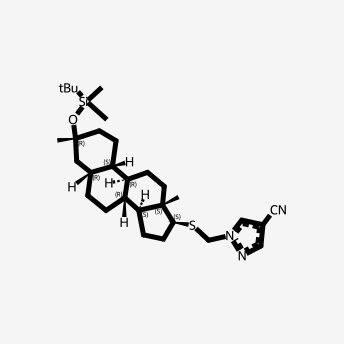 CC(C)(C)[Si](C)(C)O[C@]1(C)CC[C@H]2[C@H](CC[C@@H]3[C@@H]2CC[C@]2(C)[C@@H](SCn4cc(C#N)cn4)CC[C@@H]32)C1